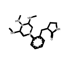 CNC1CN(c2ccccc2CC2CCNC2=O)CC(NC)N1NC